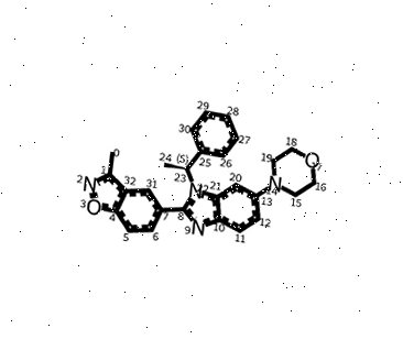 Cc1noc2ccc(-c3nc4ccc(N5CCOCC5)cc4n3[C@@H](C)c3ccccc3)cc12